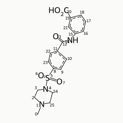 CN1CCN(S(=O)(=O)c2ccc(C(=O)Nc3cccc(C(=O)O)c3)cc2)CC1